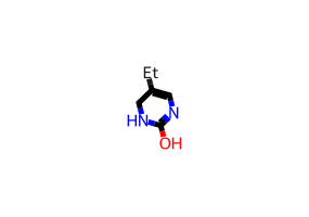 CCC1=CN=C(O)NC1